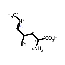 C/N=C/C(CC(N)C(=O)O)C(C)C